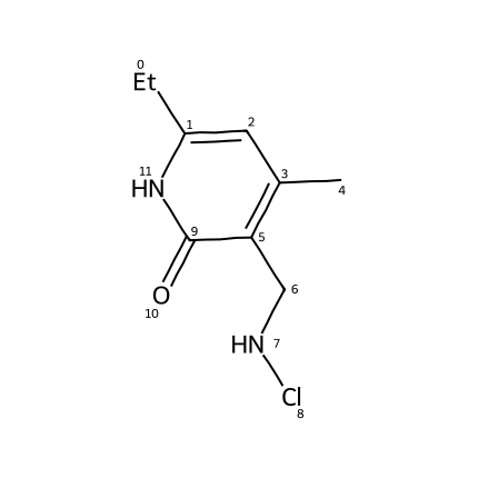 CCc1cc(C)c(CNCl)c(=O)[nH]1